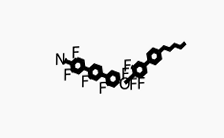 CCCCCc1ccc(-c2cc(F)c(C(F)(F)Oc3ccc(-c4ccc(-c5cc(F)c(C#N)c(F)c5)c(F)c4)c(F)c3)c(F)c2)cc1